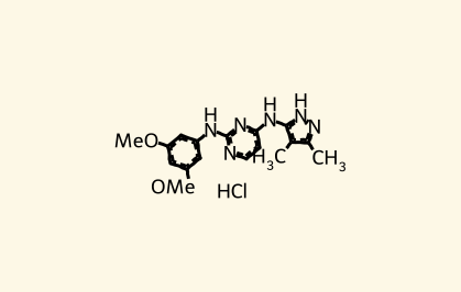 COc1cc(Nc2nccc(Nc3[nH]nc(C)c3C)n2)cc(OC)c1.Cl